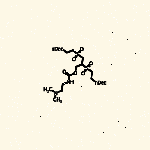 CCCCCCCCCCCCS(=O)(=O)CC(COC(=O)NCCN(C)C)S(=O)(=O)CCCCCCCCCCCC